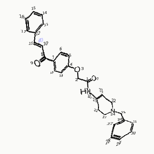 O=C(COc1ccc(C(=O)/C=C/c2ccccc2)cc1)NC1CCN(Cc2ccccc2)CC1